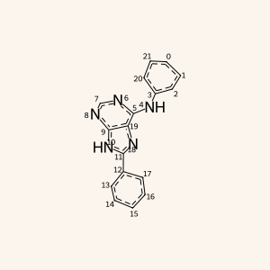 c1ccc(Nc2ncnc3[nH]c(-c4ccccc4)nc23)cc1